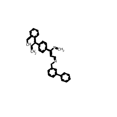 C=C/C(c1ccc(/C(=C/C=N\Cc2cccc(-c3ccccc3)c2)N=C)cc1)=c1/cccc/c1=C/C